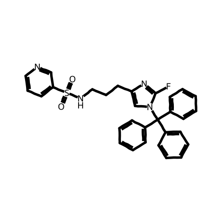 O=S(=O)(NCCCc1cn(C(c2ccccc2)(c2ccccc2)c2ccccc2)c(F)n1)c1cccnc1